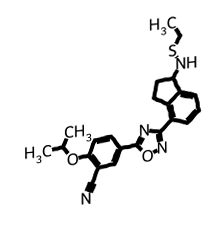 CCSNC1CCc2c(-c3noc(-c4ccc(OC(C)C)c(C#N)c4)n3)cccc21